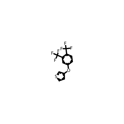 FC(F)(F)c1ccc(Oc2c[c]sc2)cc1C(F)(F)F